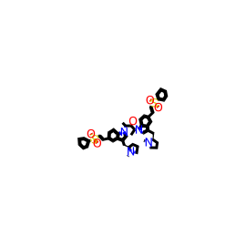 CC(C(=O)C(C)n1cc(C[C@H]2CCCN2C)c2cc(/C=C/S(=O)(=O)c3ccccc3)ccc21)n1cc(C[C@H]2CCCN2C)c2cc(/C=C/S(=O)(=O)c3ccccc3)ccc21